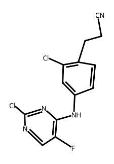 N#CCCc1ccc(Nc2nc(Cl)ncc2F)cc1Cl